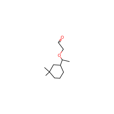 CC(OCC=O)C1CCCC(C)(C)C1